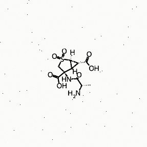 C[C@H](N)C(=O)N[C@@]1(C(=O)O)CS(=O)(=O)[C@H]2[C@H](C(=O)O)[C@H]21